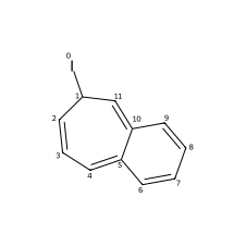 IC1C=CC=c2ccccc2=C1